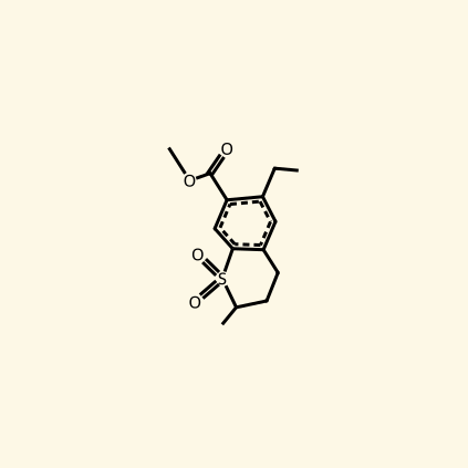 CCc1cc2c(cc1C(=O)OC)S(=O)(=O)C(C)CC2